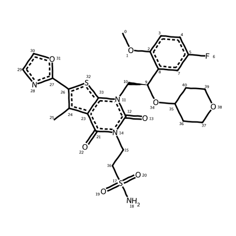 COc1ccc(F)cc1[C@H](Cn1c(=O)n(CCS(N)(=O)=O)c(=O)c2c(C)c(-c3ncco3)sc21)OC1CCOCC1